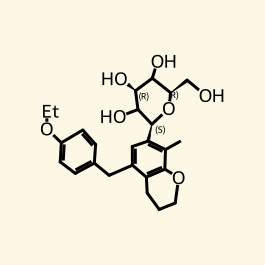 CCOc1ccc(Cc2cc([C@@H]3O[C@H](CO)C(O)[C@H](O)C3O)c(C)c3c2CCCO3)cc1